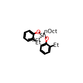 CCCCCCC[CH2][Sn]([CH2]CCCCCCC)([O]c1ccccc1CC)[O]c1ccccc1CC